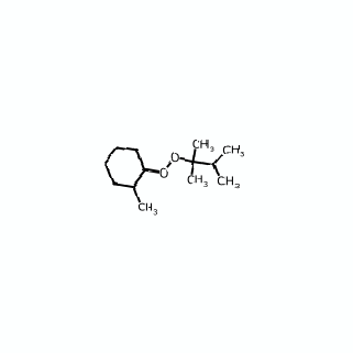 CC1CCCCC1OOC(C)(C)C(C)C